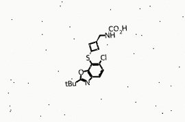 CC(C)(C)c1nc2ccc(Cl)c(S[C@H]3C[C@H](CNC(=O)O)C3)c2o1